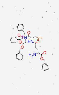 NC(CCC(=O)NC(CS)C(=O)N(CC(=O)OCc1ccccc1)P(=O)(Cc1ccccc1)Cc1ccccc1)C(=O)OCc1ccccc1